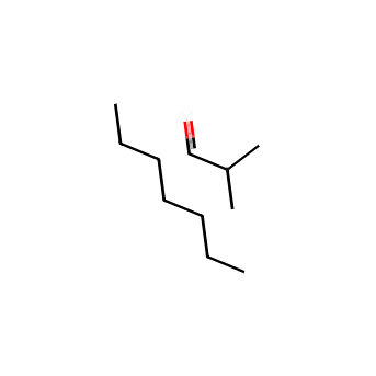 CC(C)C=O.CCCCCCC